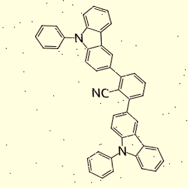 N#Cc1c(-c2ccc3c(c2)c2ccccc2n3-c2ccccc2)cccc1-c1ccc2c(c1)c1ccccc1n2-c1ccccc1